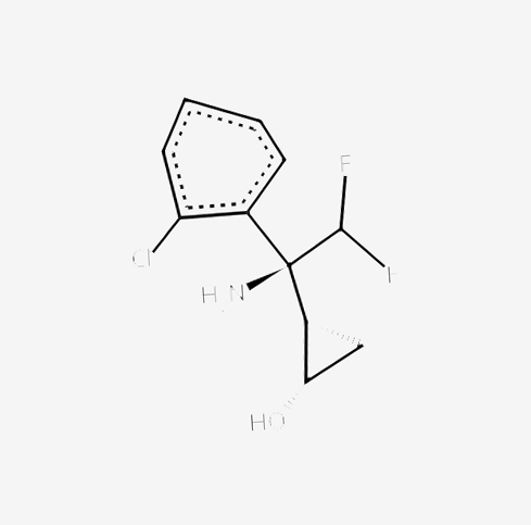 N[C@@](c1ccccc1Cl)(C(F)F)[C@@H]1C[C@@H]1O